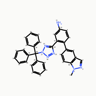 Cn1ncc2cc(-c3ccc(N)cc3-c3nnn(C(c4ccccc4)(c4ccccc4)c4ccccc4)n3)ccc21